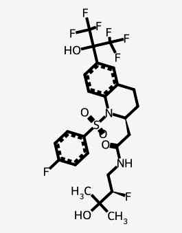 CC(C)(O)[C@H](F)CNC(=O)C[C@@H]1CCc2cc(C(O)(C(F)(F)F)C(F)(F)F)ccc2N1S(=O)(=O)c1ccc(F)cc1